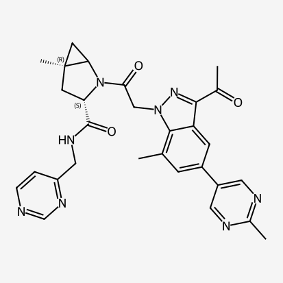 CC(=O)c1nn(CC(=O)N2C3C[C@]3(C)C[C@H]2C(=O)NCc2ccncn2)c2c(C)cc(-c3cnc(C)nc3)cc12